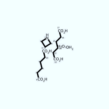 C1CNC1.O.O.O=C(O)CCCCC(=O)O.O=C(O)CCCCC(=O)O